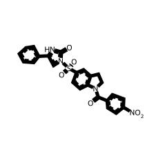 O=C(c1ccc([N+](=O)[O-])cc1)N1CCc2cc(S(=O)(=O)n3cc(-c4ccccc4)[nH]c3=O)ccc21